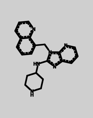 c1cnc2c(Cn3c(NC4CCNCC4)nc4cccnc43)cccc2c1